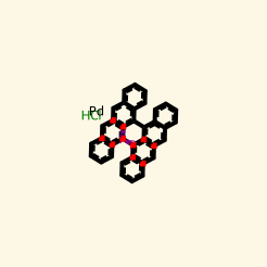 Cl.[Pd].c1ccc(P(c2ccccc2)c2ccc3ccccc3c2-c2c(P(c3ccccc3)c3ccccc3)ccc3ccccc23)cc1